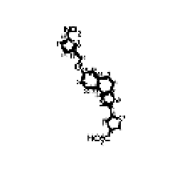 O=C(O)C1CSC(c2nc3ccc4cc(OCc5ccc([N+](=O)[O-])o5)ccc4c3s2)=N1